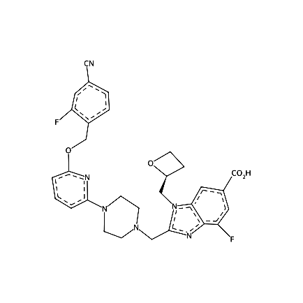 N#Cc1ccc(COc2cccc(N3CCN(Cc4nc5c(F)cc(C(=O)O)cc5n4C[C@@H]4CCO4)CC3)n2)c(F)c1